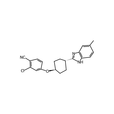 Cc1ccc2[nH]c([C@H]3CC[C@H](Oc4ccc(C#N)c(Cl)c4)CC3)nc2c1